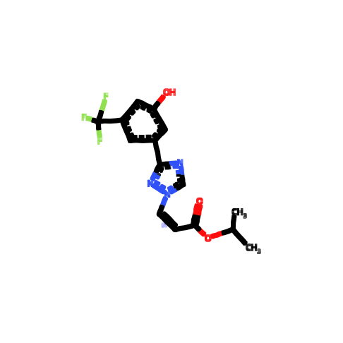 CC(C)OC(=O)/C=C\n1cnc(-c2cc(O)cc(C(F)(F)F)c2)n1